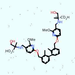 COc1nc(OCc2cccc(-c3cccc(COc4ccc(CN[C@@](C)(CO)C(=O)O)c(OC)n4)c3C)c2C)ccc1CNC(C)(CO)C(=O)O